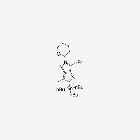 CCC[CH2][Sn]([CH2]CCC)([CH2]CCC)[c]1sc2c(C(C)C)n(C3CCCCO3)nc2c1C